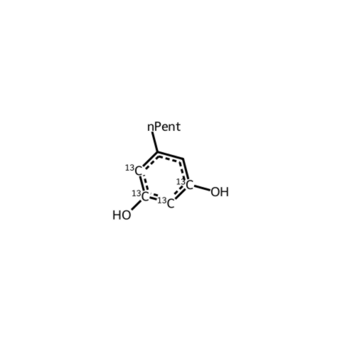 CCCCCc1c[13c](O)[13cH][13c](O)[13cH]1